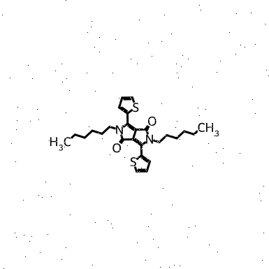 CCCCCCN1C(=O)C2=C(c3cccs3)N(CCCCCC)C(=O)C2=C1c1cccs1